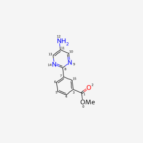 COC(=O)c1cccc(-c2ncc(N)cn2)c1